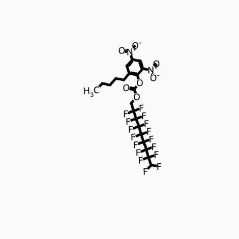 CCCCCc1cc([N+](=O)[O-])cc([N+](=O)[O-])c1OC(=O)OCC(F)(F)C(F)(F)C(F)(F)C(F)(F)C(F)(F)C(F)(F)C(F)(F)C(F)F